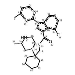 Cc1ccnc(-n2cc(C(=O)NCC3(N4CCN[C@@H](C)C4)CCCCC3)c3c(Cl)cccc32)n1